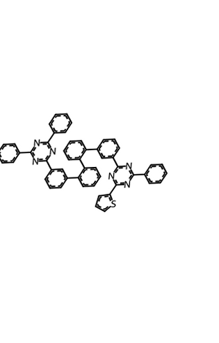 c1ccc(-c2nc(-c3ccccc3)nc(-c3cccc(-c4ccccc4-c4ccccc4-c4cccc(-c5nc(-c6ccccc6)nc(-c6cccs6)n5)c4)c3)n2)cc1